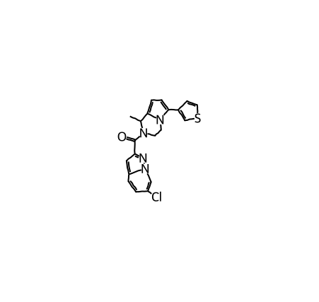 CC1c2ccc(-c3ccsc3)n2CCN1C(=O)c1cc2ccc(Cl)cn2n1